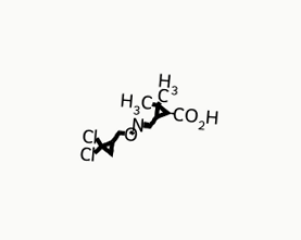 CC1(C)C(/C=N/OCC2CC2(Cl)Cl)[C@H]1C(=O)O